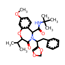 COc1ccc2c(c1)OC(C(C)C)C(=O)N(C(Cc1ccccc1)C1=COCO1)C2C(=O)NC(C)(C)C